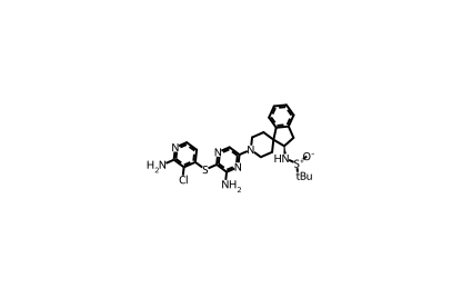 CC(C)(C)[S+]([O-])N[C@@H]1Cc2ccccc2C12CCN(c1cnc(Sc3ccnc(N)c3Cl)c(N)n1)CC2